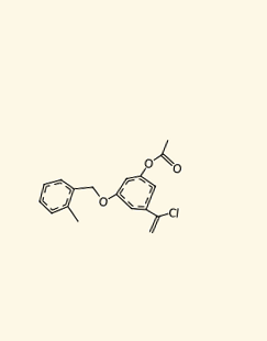 C=C(Cl)c1cc(OCc2ccccc2C)cc(OC(C)=O)c1